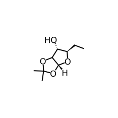 CC[C@H]1O[C@@H]2OC(C)(C)OC2[C@@H]1O